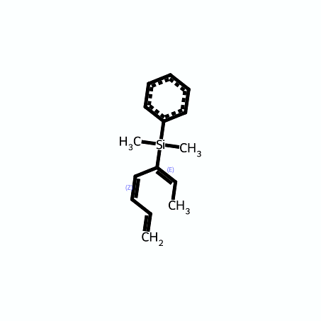 C=C/C=C\C(=C/C)[Si](C)(C)c1ccccc1